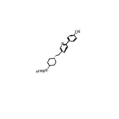 CCCCCCC[C@H]1CC[C@H](CCc2ccc(-c3ccc(C#N)cc3)nc2)CC1